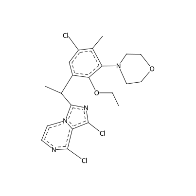 CCOc1c(C(C)c2nc(Cl)c3c(Cl)nccn23)cc(Cl)c(C)c1N1CCOCC1